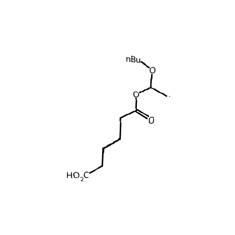 [CH2]C(OCCCC)OC(=O)CCCCC(=O)O